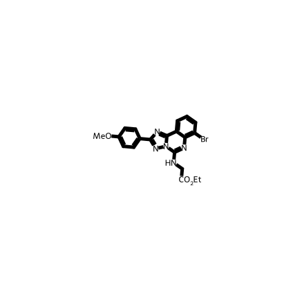 CCOC(=O)CNc1nc2c(Br)cccc2c2nc(-c3ccc(OC)cc3)nn12